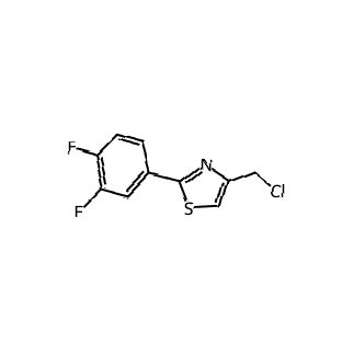 Fc1ccc(-c2nc(CCl)cs2)cc1F